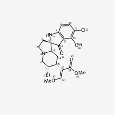 CC[C@@H]1CN2CC[C@]3(Nc4ccc(Cl)c(O)c4C3=O)C2C[C@@H]1/C(=C\OC)C(=O)OC